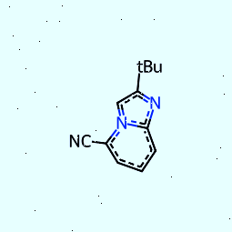 CC(C)(C)c1cn2c(C#N)cccc2n1